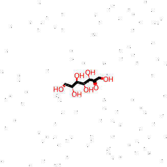 O=C(CO)[C@@H](O)[C@H](O)[C@H](O)[C@H](O)CO